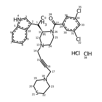 CC(c1c[nH]c2ccccc12)[C@@H]1CN(CC#CCN2CCSCC2)CCN1C(=O)c1cc(Cl)cc(Cl)c1.Cl.Cl